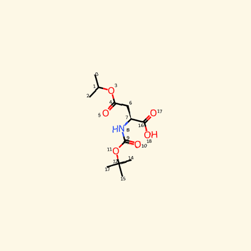 CC(C)OC(=O)C[C@H](NC(=O)OC(C)(C)C)C(=O)O